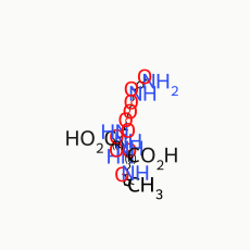 Cc1cccc(C(=O)NCCCC[C@@H](NC(=O)CNC(=O)[C@@H](CCC(=O)O)NC(=O)CNC(=O)CCOCCOCCOCCNC(=O)C2CCC(C(N)=O)CC2)C(=O)O)c1